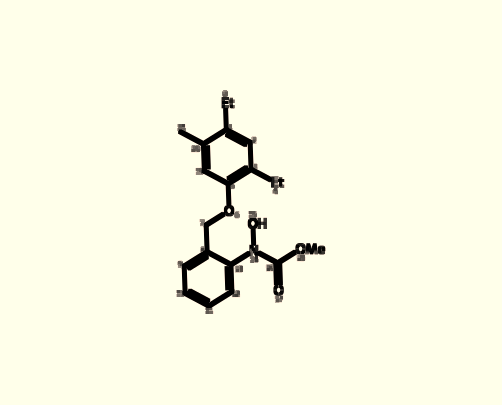 CCc1cc(CC)c(OCc2ccccc2N(O)C(=O)OC)cc1C